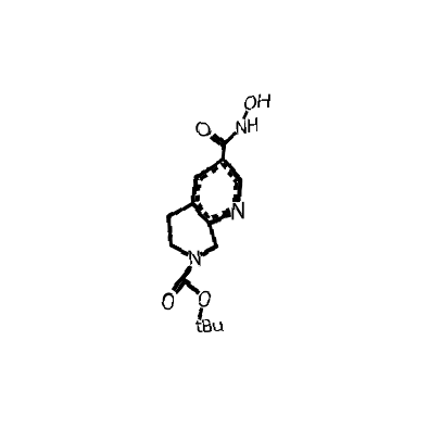 CC(C)(C)OC(=O)N1CCc2cc(C(=O)NO)cnc2C1